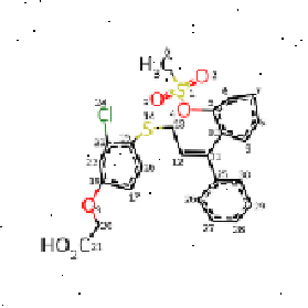 CS(=O)(=O)Oc1ccccc1/C(=C\CSc1ccc(OCC(=O)O)cc1Cl)c1ccccc1